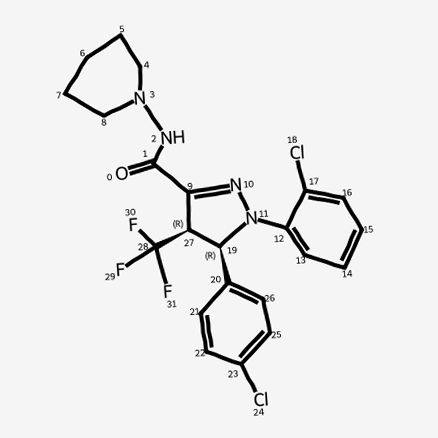 O=C(NN1CCCCC1)C1=NN(c2ccccc2Cl)[C@@H](c2ccc(Cl)cc2)[C@H]1C(F)(F)F